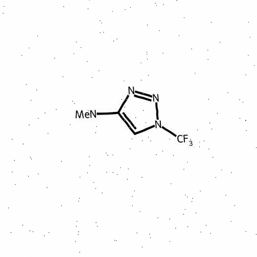 CNc1cn(C(F)(F)F)nn1